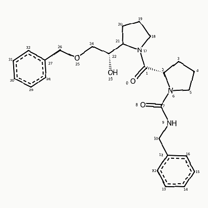 O=C([C@@H]1CCCN1C(=O)NCc1ccccc1)N1CCCC1[C@H](O)COCc1ccccc1